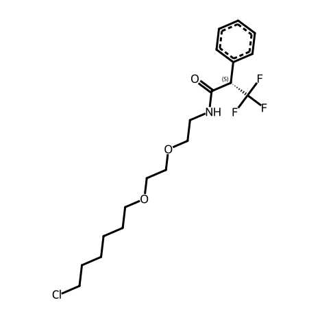 O=C(NCCOCCOCCCCCCCl)[C@H](c1ccccc1)C(F)(F)F